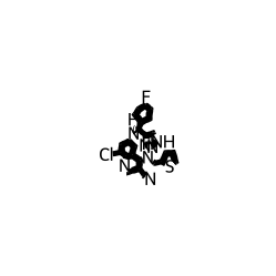 N#Cc1cnc2c(Cl)cc(N[C@@H](c3ccc(F)cc3)c3c[nH]nn3)cc2c1NCc1cccs1